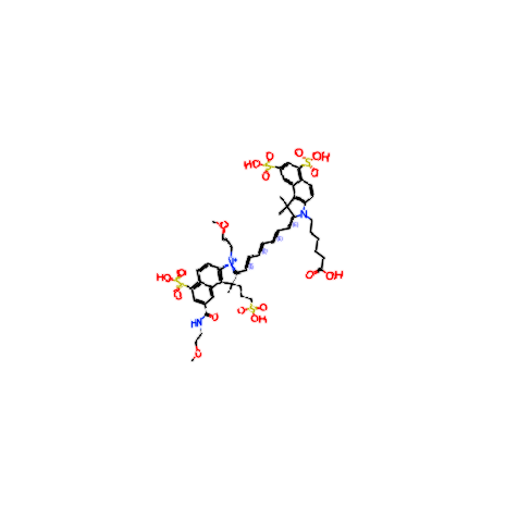 COCCNC(=O)c1cc(S(=O)(=O)O)c2ccc3c(c2c1)C(C)(CCCS(=O)(=O)O)C(/C=C/C=C/C=C/C=C1/N(CCCCCC(=O)O)c2ccc4c(S(=O)(=O)O)cc(S(=O)(=O)O)cc4c2C1(C)C)=[N+]3CCOC